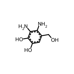 Nc1c(CO)cc(O)c(O)c1N